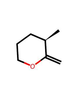 C=C1OCCC[C@H]1C